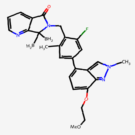 BC1(B)c2ncccc2C(=O)N1Cc1c(C)cc(-c2ccc(OCCOC)c3nn(C)cc23)cc1F